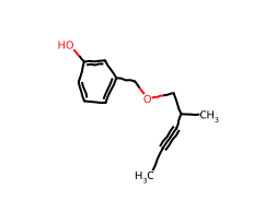 CC#CC(C)COCc1cccc(O)c1